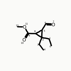 CCC1(CC)C(C=O)C1C(=O)OC